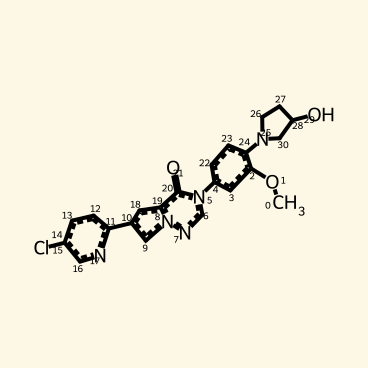 COc1cc(-n2cnn3cc(-c4ccc(Cl)cn4)cc3c2=O)ccc1N1CCC(O)C1